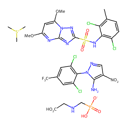 COc1cc(OC)n2nc(S(=O)(=O)Nc3c(Cl)ccc(C)c3Cl)nc2n1.C[S+](C)C.Nc1c([N+](=O)[O-])cnn1-c1c(Cl)cc(C(F)(F)F)cc1Cl.O=C(O)CNCP(=O)([O-])O